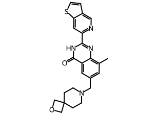 Cc1cc(CN2CCC3(CC2)COC3)cc2c(=O)[nH]c(-c3cc4sccc4cn3)nc12